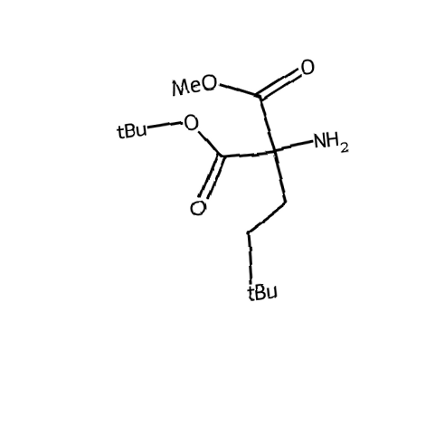 COC(=O)C(N)(CCC(C)(C)C)C(=O)OC(C)(C)C